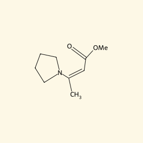 COC(=O)/C=C(/C)N1CCCC1